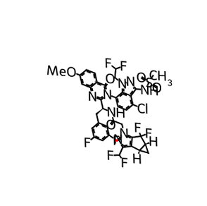 COc1ccc2c(=O)n(-c3ccc(Cl)c4c(NS(C)(=O)=O)nn(CC(F)F)c34)c([C@H](Cc3cc(F)cc(F)c3)NC(=O)Cn3nc(C(F)F)c4c3C(F)(F)[C@@H]3C[C@H]43)nc2c1